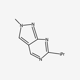 CC(C)c1ncc2cn(C)nc2n1